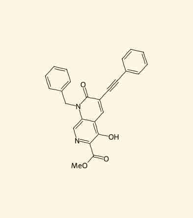 COC(=O)c1ncc2c(cc(C#Cc3ccccc3)c(=O)n2Cc2ccccc2)c1O